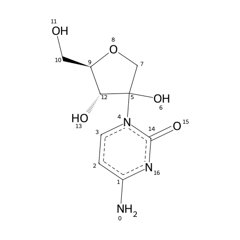 Nc1ccn(C2(O)CO[C@H](CO)[C@H]2O)c(=O)n1